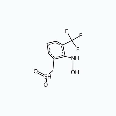 O=[SH](=O)Cc1cccc(C(F)(F)F)c1NO